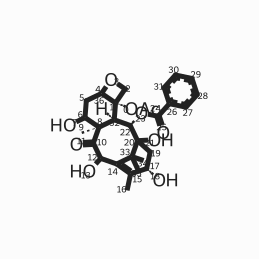 CC(=O)O[C@@]12COC1CC(O)[C@]1(C)C(=O)C(O)C3=C(C)[C@@H](O)CC(O)([C@@H](OC(=O)c4ccccc4)[C@H]21)C3(C)C